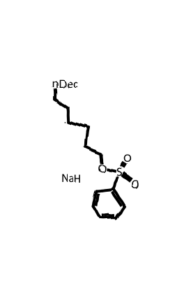 CCCCCCCCCCCC[CH]CCCOS(=O)(=O)c1ccccc1.[NaH]